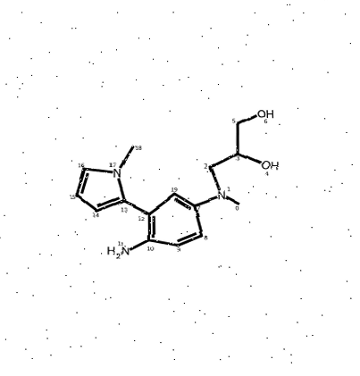 CN(CC(O)CO)c1ccc(N)c(-c2cccn2C)c1